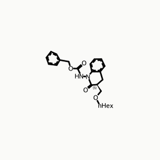 CCCCCCOC[C@@H]1Cc2ccccc2N(NC(=O)OCc2ccccc2)C1=O